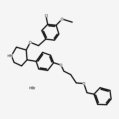 Br.COc1ccc(COC2CNCCC2c2ccc(OCCCOCc3ccccc3)cc2)cc1Cl